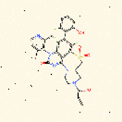 C=CC(=O)N1CCN2c3nc(=O)n(-c4c(C)ccnc4C(C)C)c4c(F)c(-c5c(O)cccc5F)c(F)c(c34)S(=O)(=O)CC2C1